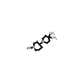 CC(C)N1CCCC(N2CCC(C)(C)CC2)CC1